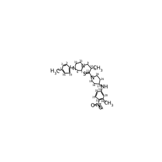 Cc1ccc(N2CCN(CC(C)C(=S)N3CCC(Nc4ccc([N+](=O)[O-])c(C)c4)CC3)CC2)cc1